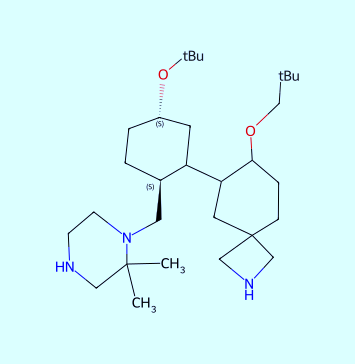 CC(C)(C)COC1CCC2(CNC2)CC1C1C[C@@H](OC(C)(C)C)CC[C@@H]1CN1CCNCC1(C)C